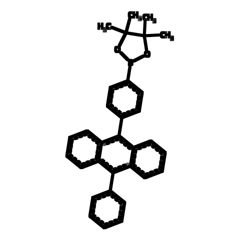 CC1(C)OB(c2ccc(-c3c4ccccc4c(-c4ccccc4)c4ccccc34)cc2)OC1(C)C